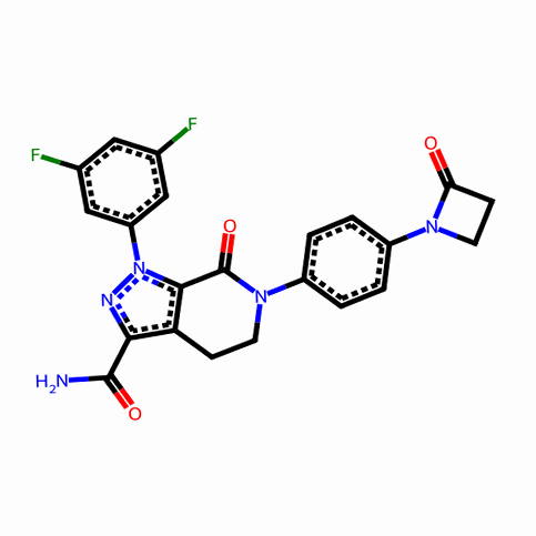 NC(=O)c1nn(-c2cc(F)cc(F)c2)c2c1CCN(c1ccc(N3CCC3=O)cc1)C2=O